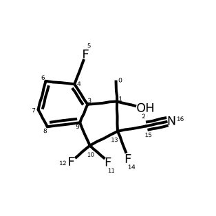 CC1(O)c2c(F)cccc2C(F)(F)C1(F)C#N